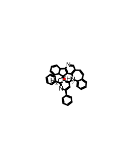 CC1(C)c2c(ncc3c2N(c2cc(-c4ccccc4)nc(-c4ccccc4)n2)c2ccccc2C=C3)C2C=CC=CC21